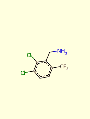 NCc1c(C(F)(F)F)ccc(Cl)c1Cl